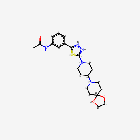 CC(=O)Nc1cccc(-c2nnc(N3CCC(N4CCC5(CC4)OCCO5)CC3)s2)c1